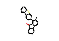 Cc1ccc2c(c1-c1ccc3c(c1)sc1ccccc13)C(=O)c1ccccc1-2